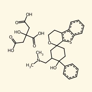 CN(C)CC1CC2(CCC1(O)c1ccccc1)OCCc1c2sc2ccccc12.O=C(O)CC(O)(CC(=O)O)C(=O)O